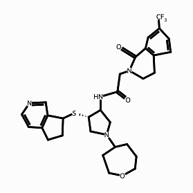 O=C(CN1CCc2ccc(C(F)(F)F)cc2C1=O)NC1CN(C2CCCOCC2)C[C@@H]1SC1CCc2ccncc21